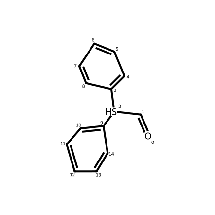 O=C[SH](c1ccccc1)c1ccccc1